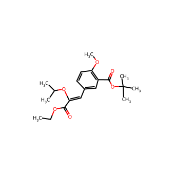 CCOC(=O)C(=Cc1ccc(OC)c(C(=O)OC(C)(C)C)c1)OC(C)C